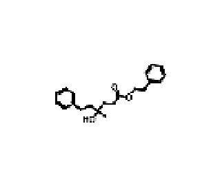 CC(O)(CCC(=O)OCCc1ccccc1)CCc1ccccc1